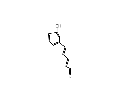 O=CC=CC=Cc1cccc(O)c1